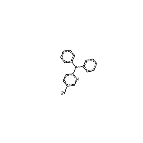 CC(C)c1ccc(P(c2ccccc2)c2ccccc2)nc1